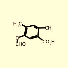 Cc1cc(C)c(C(=O)O)cc1OC=O